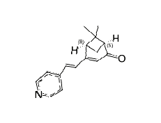 CC1(C)[C@@H]2C[C@H]1C(C=Cc1ccncc1)=CC2=O